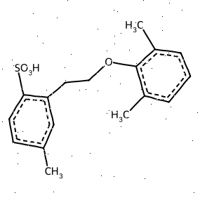 Cc1ccc(S(=O)(=O)O)c(CCOc2c(C)cccc2C)c1